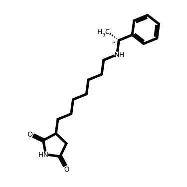 C[C@@H](NCCCCCCCC1CC(=O)NC1=O)c1ccccc1